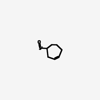 O=[S+]C1CC=CCCC1